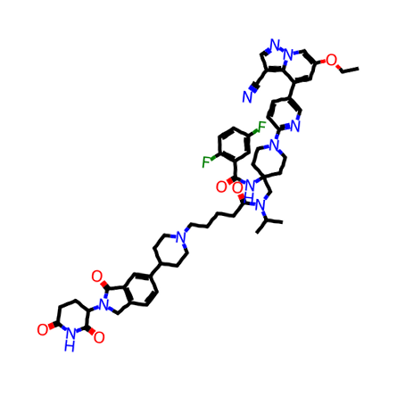 CCOc1cc(-c2ccc(N3CCC(CN(C(=O)CCCCN4CCC(c5ccc6c(c5)C(=O)N(C5CCC(=O)NC5=O)C6)CC4)C(C)C)(NC(=O)c4cc(F)ccc4F)CC3)nc2)c2c(C#N)cnn2c1